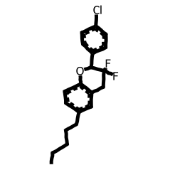 CCCCCc1ccc2c(c1)CC(F)(F)C(c1ccc(Cl)cc1)O2